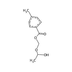 Cc1ccc(C(=O)OCOC(C)O)cc1